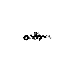 C=CCc1cnc2sc(C(=O)Nc3ccccc3)c(N)c2c1